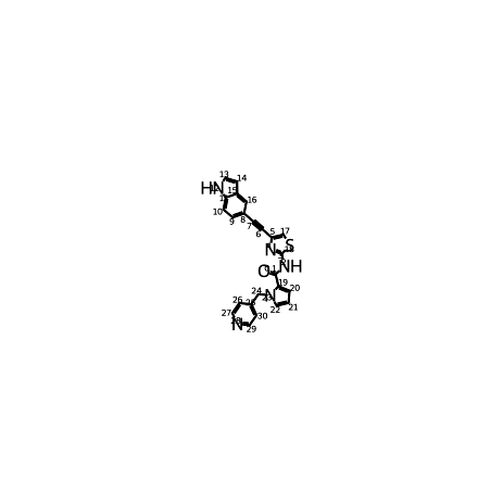 O=C(Nc1nc(C#Cc2ccc3[nH]ccc3c2)cs1)c1cccn1Cc1ccncc1